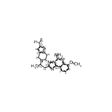 COc1cccc2c1nc(N)n1nc(CC(C)N3CCn4nc(C(F)F)cc4C3)nc21